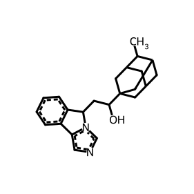 CC1C2CC3CC1CC(C(O)CC1c4ccccc4-c4cncn41)(C3)C2